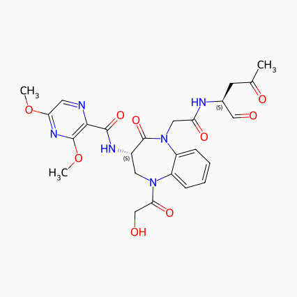 COc1cnc(C(=O)N[C@H]2CN(C(=O)CO)c3ccccc3N(CC(=O)N[C@H](C=O)CC(C)=O)C2=O)c(OC)n1